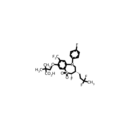 CC(F)(F)CC[C@H]1CN(c2ccc(F)cc2)c2cc(C(F)(F)F)c(OCC(C)(C)C(=O)O)cc2S(=O)(=O)[C@H]1F